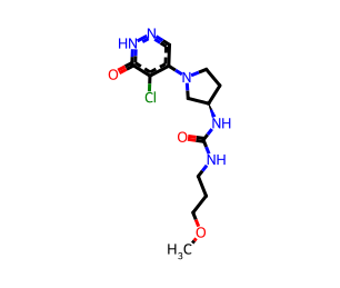 COCCCNC(=O)N[C@@H]1CCN(c2cn[nH]c(=O)c2Cl)C1